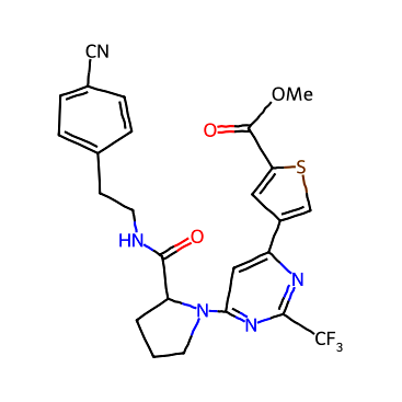 COC(=O)c1cc(-c2cc(N3CCCC3C(=O)NCCc3ccc(C#N)cc3)nc(C(F)(F)F)n2)cs1